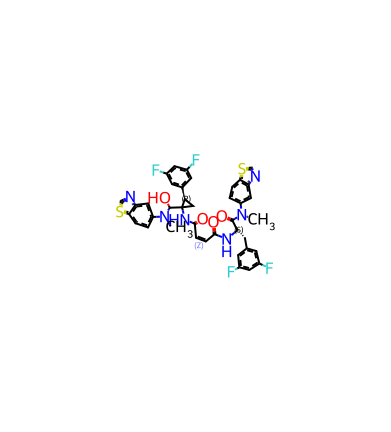 CN(C(=O)[C@H](Cc1cc(F)cc(F)c1)NC(=O)/C=C\C(=O)NC1(C(O)N(C)c2ccc3scnc3c2)C[C@@H]1c1cc(F)cc(F)c1)c1ccc2scnc2c1